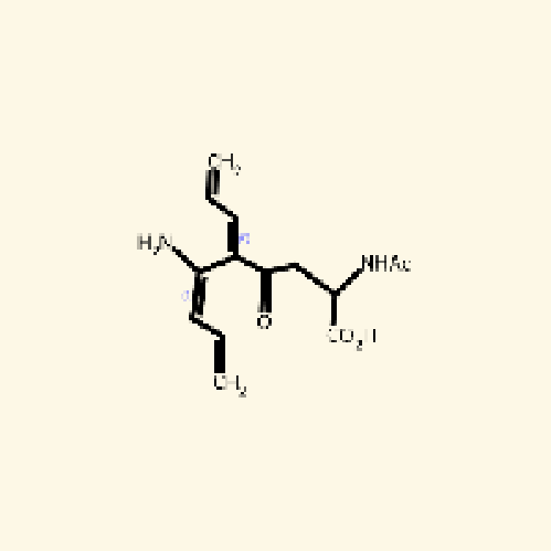 C=C/C=C(N)\C(=C/C=C)C(=O)CC(NC(C)=O)C(=O)O